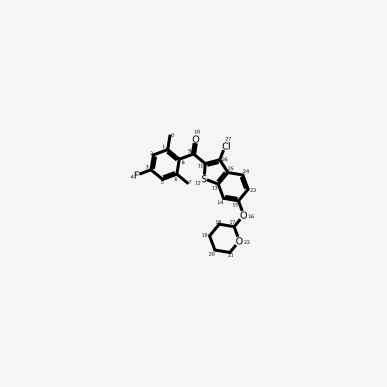 Cc1cc(F)cc(C)c1C(=O)c1sc2cc(OC3CCCCO3)ccc2c1Cl